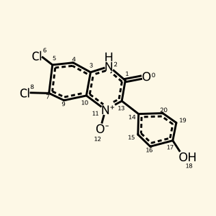 O=c1[nH]c2cc(Cl)c(Cl)cc2[n+]([O-])c1-c1ccc(O)cc1